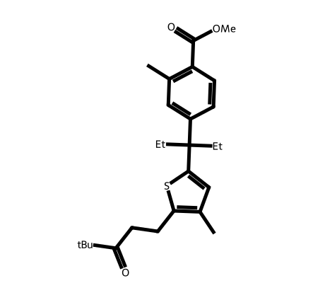 CCC(CC)(c1ccc(C(=O)OC)c(C)c1)c1cc(C)c(CCC(=O)C(C)(C)C)s1